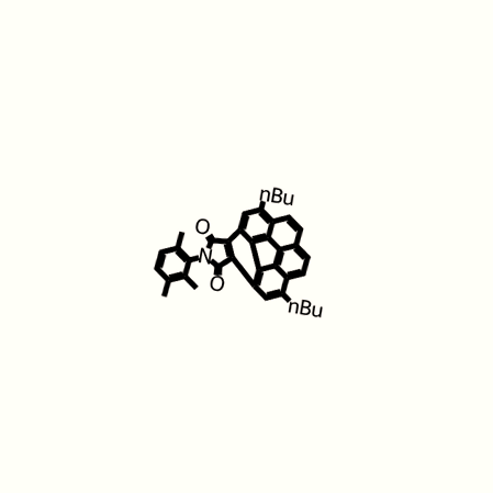 CCCCc1cc2c3c(=O)n(-c4c(C)ccc(C)c4C)c(=O)c3c3cc(CCCC)c4ccc5ccc1c1c5c4c3c21